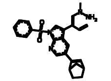 C=C/C(=C\N(C)N)c1cn(S(=O)(=O)c2ccccc2)c2ncc(C3=CC4CCC3C4)cc12